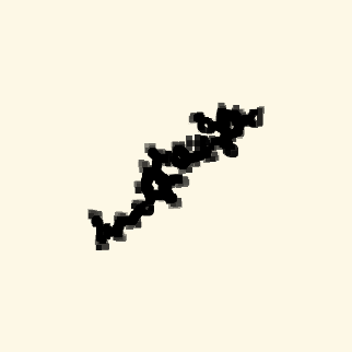 COC1=CC=C(Cl)CC1C(=O)NCC1CN(C(C)c2ccc(OCCCCN(C)C)c(C)c2C)C1